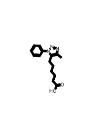 Cc1nnn(-c2ccccc2)c1CCCCCC(=O)O